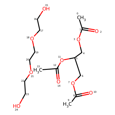 CC(=O)OCC(COC(C)=O)OC(C)=O.OCCOCCOCCO